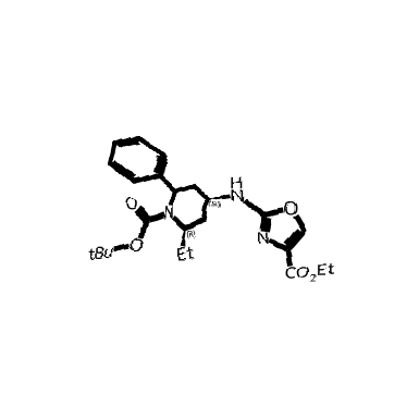 CCOC(=O)c1coc(N[C@@H]2CC(c3ccccc3)N(C(=O)OC(C)(C)C)[C@H](CC)C2)n1